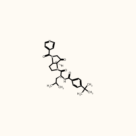 CC(C)C[C@H](NC(=O)c1ccc(C(C)(C)C)cc1)C(=O)N1CCC2[C@H]1C(=O)CN2C(=O)c1ccncc1